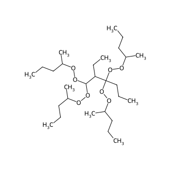 CCCC(C)OOC(OOC(C)CCC)C(CC)C(CCC)(OOC(C)CCC)OOC(C)CCC